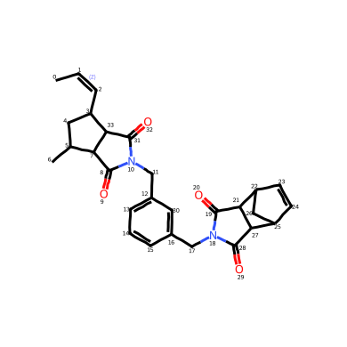 C/C=C\C1CC(C)C2C(=O)N(Cc3cccc(CN4C(=O)C5C6C=CC(C6)C5C4=O)c3)C(=O)C12